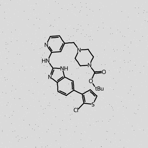 CC(C)(C)OC(=O)N1CCN(Cc2ccnc(Nc3nc4ccc(-c5ccsc5Cl)cc4[nH]3)c2)CC1